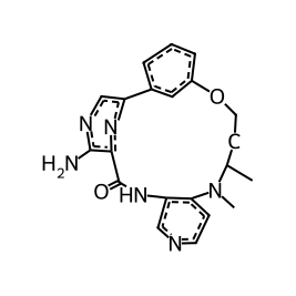 CC1CCOc2cccc(c2)-c2cnc(N)c(n2)C(=O)Nc2cnccc2N1C